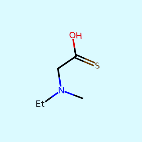 CCN(C)CC(O)=S